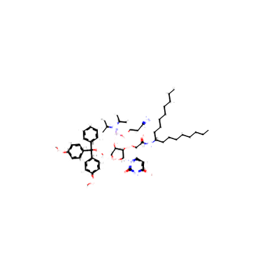 CCCCCCCCC(CCCCCCCC)NC(=O)COC1C(OP(OCCC#N)N(C(C)C)C(C)C)[C@@H](COC(c2ccccc2)(c2ccc(OC)cc2)c2ccc(OC)cc2)O[C@H]1n1ccc(=O)[nH]c1=O